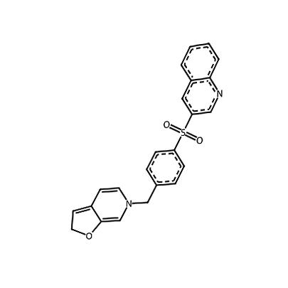 O=S(=O)(c1ccc(CN2C=CC3=CCOC3=C2)cc1)c1cnc2ccccc2c1